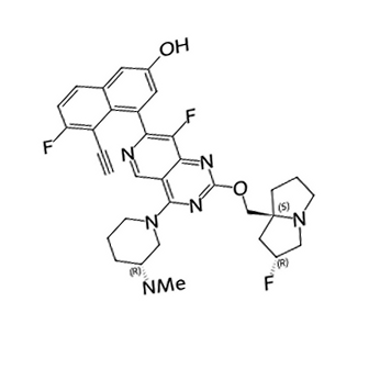 C#Cc1c(F)ccc2cc(O)cc(-c3ncc4c(N5CCC[C@@H](NC)C5)nc(OC[C@@]56CCCN5C[C@H](F)C6)nc4c3F)c12